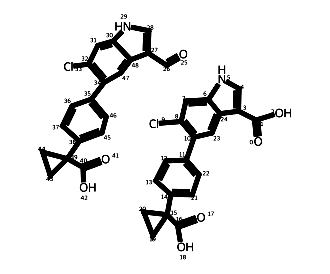 O=C(O)c1c[nH]c2cc(Cl)c(-c3ccc(C4(C(=O)O)CC4)cc3)cc12.O=Cc1c[nH]c2cc(Cl)c(-c3ccc(C4(C(=O)O)CC4)cc3)cc12